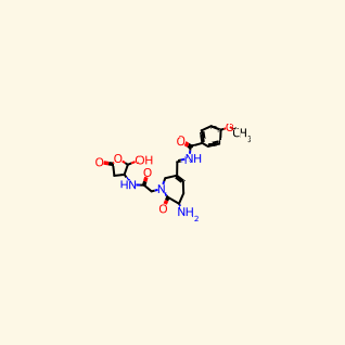 COc1ccc(C(=O)NCC2=CCC(N)C(=O)N(CC(=O)NC3CC(=O)OC3O)C2)cc1